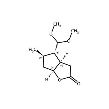 COC(OC)[C@@H]1[C@H]2CC(=O)O[C@H]2C[C@H]1C